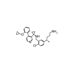 C[C@H](CCCN)c1ccc(Cl)c(CNC2(c3cnccc3-c3ccccc3OC3CC3)CC2)c1